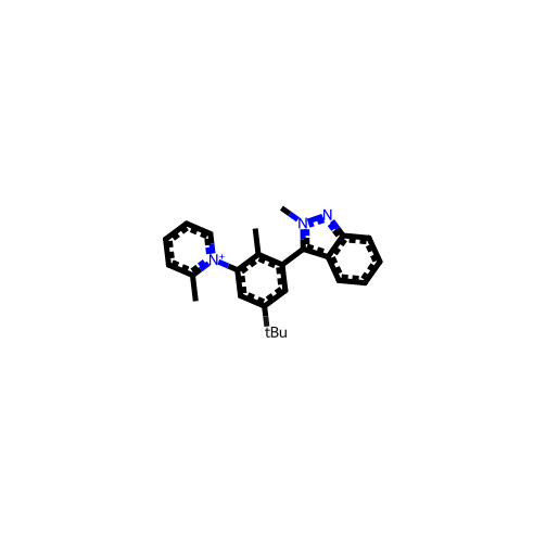 Cc1c(-c2c3ccccc3nn2C)cc(C(C)(C)C)cc1-[n+]1ccccc1C